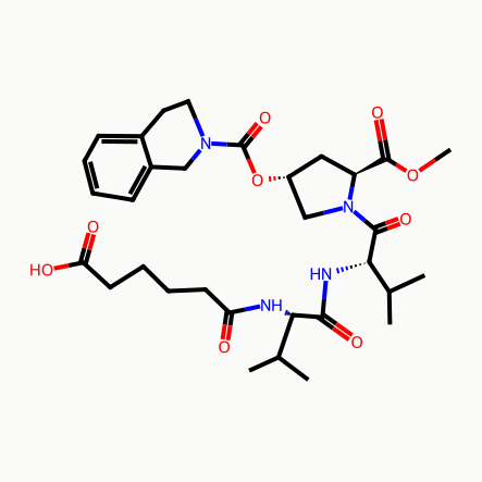 COC(=O)[C@@H]1C[C@@H](OC(=O)N2CCc3ccccc3C2)CN1C(=O)[C@@H](NC(=O)[C@@H](NC(=O)CCCCC(=O)O)C(C)C)C(C)C